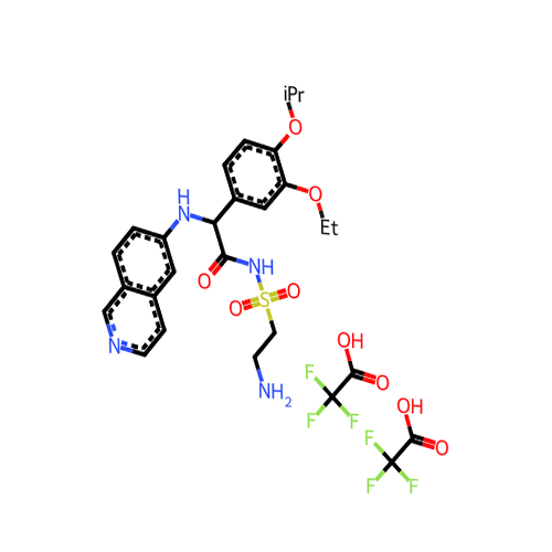 CCOc1cc(C(Nc2ccc3cnccc3c2)C(=O)NS(=O)(=O)CCN)ccc1OC(C)C.O=C(O)C(F)(F)F.O=C(O)C(F)(F)F